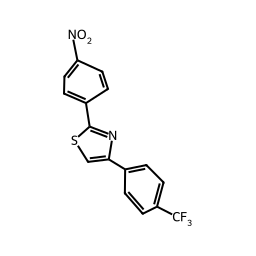 O=[N+]([O-])c1ccc(-c2nc(-c3ccc(C(F)(F)F)cc3)cs2)cc1